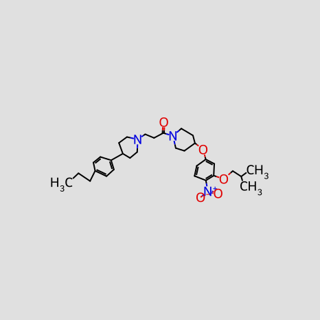 CCCc1ccc(C2CCN(CCC(=O)N3CCC(Oc4ccc([N+](=O)[O-])c(OCC(C)C)c4)CC3)CC2)cc1